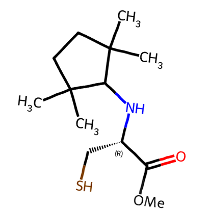 COC(=O)[C@H](CS)NC1C(C)(C)CCC1(C)C